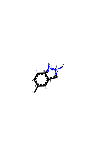 Cc1ccc2nn(C)cc2c1